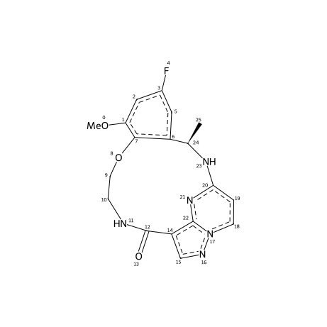 COc1cc(F)cc2c1OCCNC(=O)c1cnn3ccc(nc13)N[C@@H]2C